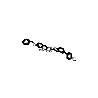 O=C(NC(Cc1ccc(OCc2ccccc2)cc1)C(=O)O)c1cc2cc(-c3ccc(Cl)cc3)ccc2o1